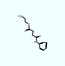 NCCOC(=O)CCC(=O)Nc1ccccc1